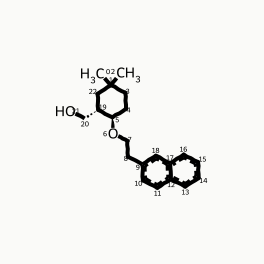 CC1(C)CC[C@@H](OCCc2ccc3ccccc3c2)[C@H](CO)C1